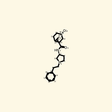 O=C(N[C@H]1CCN(CCc2ccccc2)C1)C1C[N+]2([O-])CCC1CC2